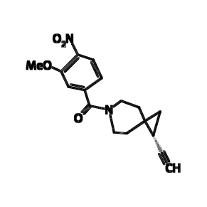 C#C[C@H]1CC12CCN(C(=O)c1ccc([N+](=O)[O-])c(OC)c1)CC2